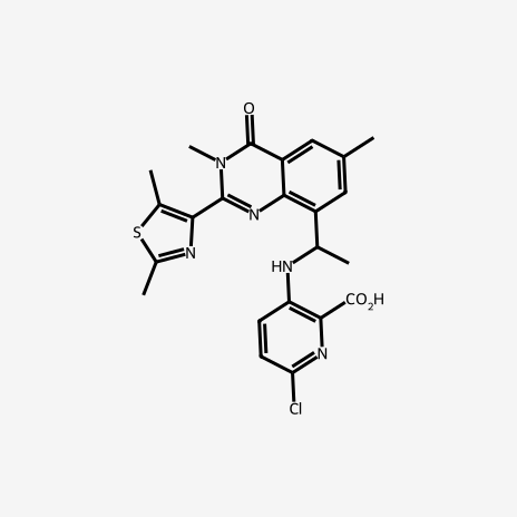 Cc1cc(C(C)Nc2ccc(Cl)nc2C(=O)O)c2nc(-c3nc(C)sc3C)n(C)c(=O)c2c1